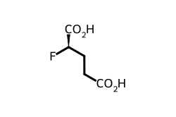 O=C(O)CC[C@@H](F)C(=O)O